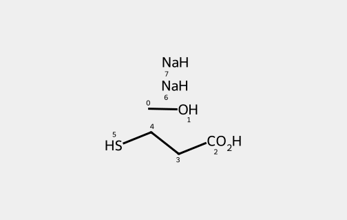 CO.O=C(O)CCS.[NaH].[NaH]